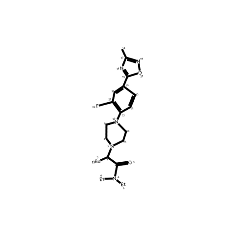 CCCCC(C(=O)N(CC)CC)N1CCN(c2ccc(-c3nc(C)no3)cc2F)CC1